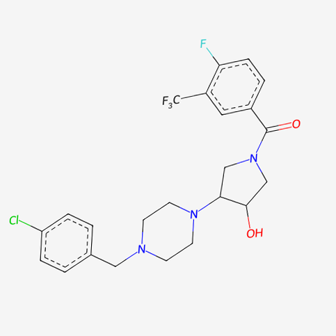 O=C(c1ccc(F)c(C(F)(F)F)c1)N1CC(O)C(N2CCN(Cc3ccc(Cl)cc3)CC2)C1